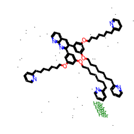 Br.Br.Br.Br.c1ccc(CCCCCCCOc2cc(OCCCCCCCc3ccccn3)cc(-c3cc4cccnc4nc3-c3cc(OCCCCCCCc4ccccn4)cc(OCCCCCCCc4ccccn4)c3)c2)nc1